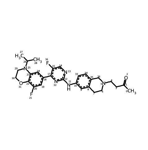 CC(=O)CCN1CCc2cc(Nc3ncc(F)c(-c4cc(F)c5c(c4)N(C(C)C)CCO5)n3)ccc2C1